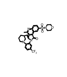 Cc1nc2ccc(S(=O)(=O)N3CCOCC3)cc2c2c1/C1=C\C3CCCN(C3)c3ccc(C(F)(F)F)cc3N1C2=O